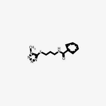 Cn1nnnc1SCCCNC(=O)c1ccccc1